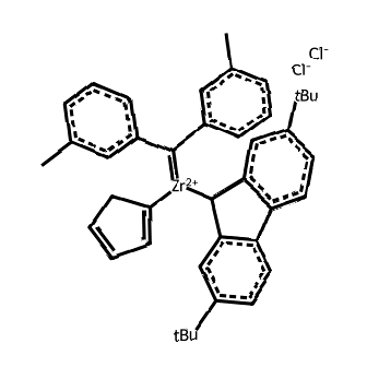 Cc1cccc([C](c2cccc(C)c2)=[Zr+2]([C]2=CC=CC2)[CH]2c3cc(C(C)(C)C)ccc3-c3ccc(C(C)(C)C)cc32)c1.[Cl-].[Cl-]